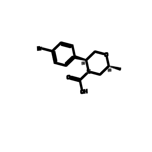 C[C@@H]1CN(C(=O)O)[C@@H](c2ccc(Br)cc2)CO1